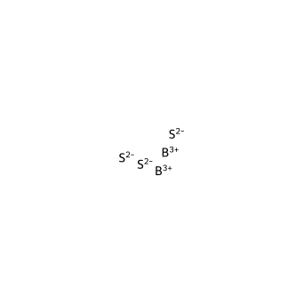 [B+3].[B+3].[S-2].[S-2].[S-2]